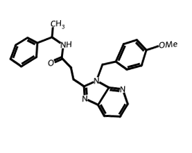 COc1ccc(Cn2c(CCC(=O)NC(C)c3ccccc3)nc3cccnc32)cc1